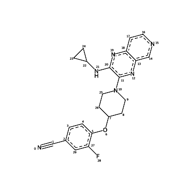 N#Cc1ccc(OC2CCN(c3nc4cnccc4nc3NC3CC3)CC2)c(F)c1